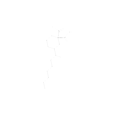 CCCCCCC(O)C1CCCC(C(=O)O)(C(=O)O)C1